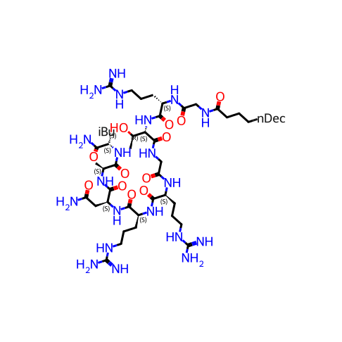 CCCCCCCCCCCCCC(=O)NCC(=O)N[C@@H](CCCNC(=N)N)C(=O)N[C@H](C(=O)NCC(=O)N[C@@H](CCCNC(=N)N)C(=O)N[C@@H](CCCNC(=N)N)C(=O)N[C@@H](CC(N)=O)C(=O)N[C@@H](C)C(=O)N[C@H](C(N)=O)[C@@H](C)CC)[C@@H](C)O